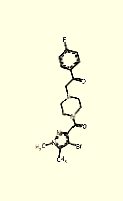 Cc1c(Br)c(C(=O)N2CCN(CC(=O)c3ccc(F)cc3)CC2)nn1C